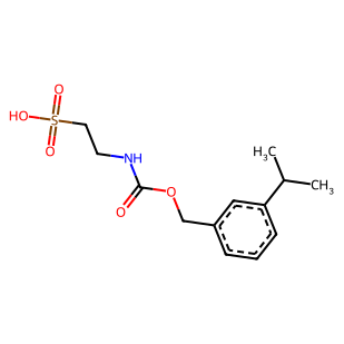 CC(C)c1cccc(COC(=O)NCCS(=O)(=O)O)c1